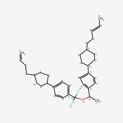 C=CCCC1CCC(c2ccc(C(F)(F)OC(C)c3ccc(C4CCC(CC/C=C/C)CC4)cc3)cc2)CC1